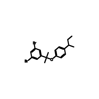 CCC(C)c1ccc(OC(C)(C)c2cc(Br)cc(Br)c2)cc1